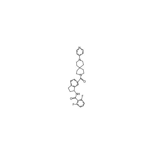 O=C(NC1CCc2ccc(C(=O)N3CCC4(CC3)CCN(c3ccncc3)CC4)cc21)c1c(F)cccc1F